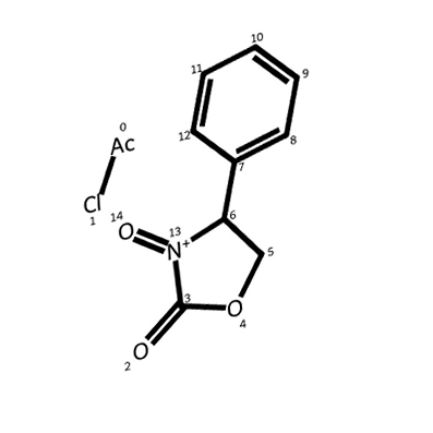 CC(=O)Cl.O=C1OCC(c2ccccc2)[N+]1=O